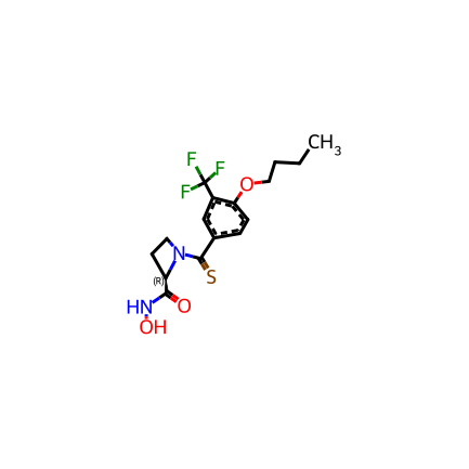 CCCCOc1ccc(C(=S)N2CC[C@@H]2C(=O)NO)cc1C(F)(F)F